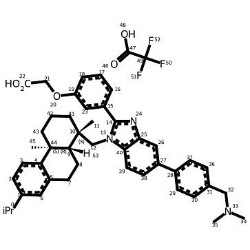 CC(C)c1ccc2c(c1)CC[C@H]1[C@@](C)(Cn3c(-c4cccc(OCC(=O)O)c4)nc4cc(-c5ccc(CN(C)C)cc5)ccc43)CCC[C@]21C.O=C(O)C(F)(F)F